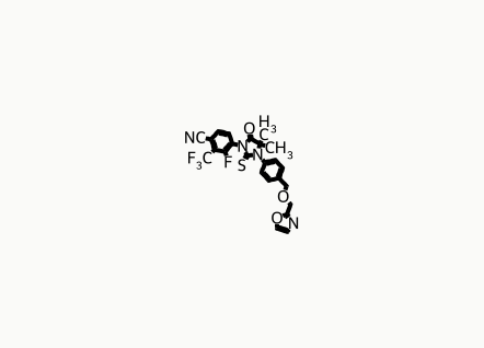 CC1(C)C(=O)N(c2ccc(C#N)c(C(F)(F)F)c2F)C(=S)N1c1ccc(COCc2ncco2)cc1